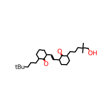 CC(C)(C)CCCC1CCCC(C=CC2CCCC(CCCC(C)(C)CO)C2=O)C1=O